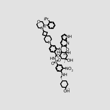 CC(C)c1ccccc1[C@@H]1COCCN1C1CC2(CCN(c3ccc(C(=O)NS(=O)(=O)c4ccc(NC[C@H]5CC[C@](C)(O)CC5)c([N+](=O)[O-])c4)c(N4c5cc6cc[nH]c6nc5O[C@@H]5C[C@@](C)(O)CC[C@H]54)c3)CC2)C1